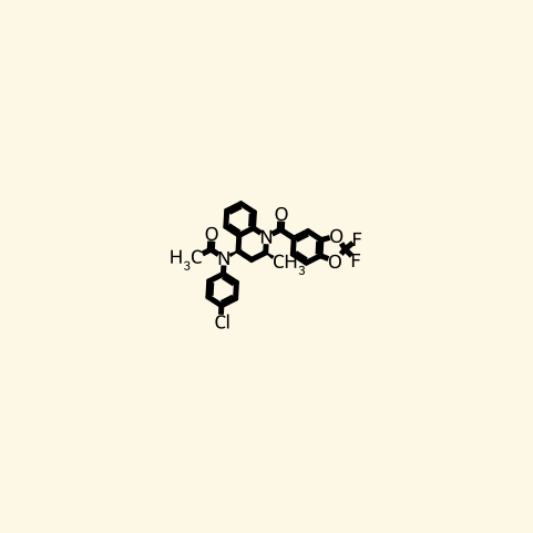 CC(=O)N(c1ccc(Cl)cc1)[C@@H]1C[C@H](C)N(C(=O)c2ccc3c(c2)OC(F)(F)O3)c2ccccc21